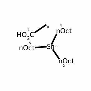 CC(=O)O.CCCCCCC[CH2][Sn]([CH2]CCCCCCC)[CH2]CCCCCCC